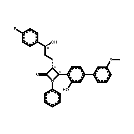 CSc1cccc(-c2ccc([C@@H]3[C@@H](CC[C@H](O)c4ccc(F)cc4)C(=O)N3c3ccccc3)c(O)c2)c1